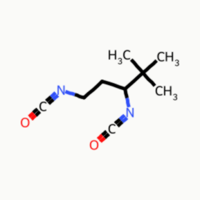 CC(C)(C)C(CCN=C=O)N=C=O